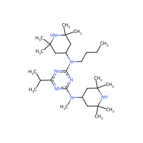 CCCCN(c1nc(C(C)C)nc(N(C)C2CC(C)(C)NC(C)(C)C2)n1)C1CC(C)(C)NC(C)(C)C1